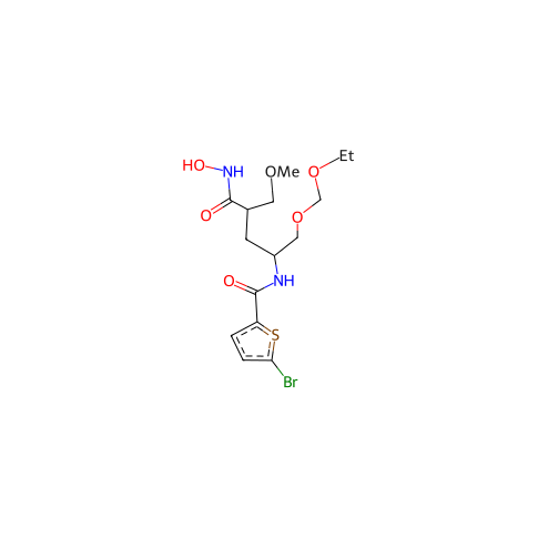 CCOCOCC(CC(COC)C(=O)NO)NC(=O)c1ccc(Br)s1